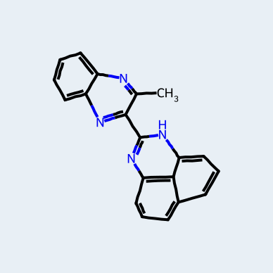 Cc1nc2ccccc2nc1C1=Nc2cccc3cccc(c23)N1